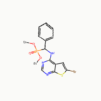 CCOP(=O)(OCC)C(Nc1ncnc2sc(Br)cc12)c1ccccc1